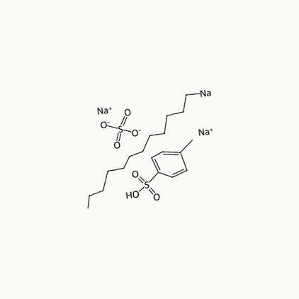 CCCCCCCCCCC[CH2][Na].Cc1ccc(S(=O)(=O)O)cc1.O=S(=O)([O-])[O-].[Na+].[Na+]